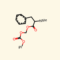 CNC(Cc1ccccc1)C(=O)OCOC(=O)OC(C)C